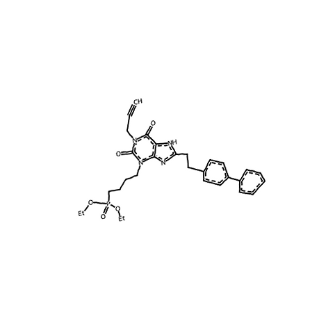 C#CCn1c(=O)c2[nH]c(CCc3ccc(-c4ccccc4)cc3)nc2n(CCCCP(=O)(OCC)OCC)c1=O